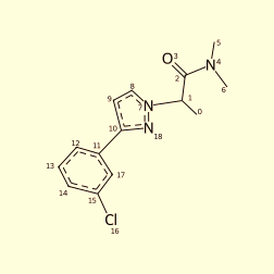 CC(C(=O)N(C)C)n1ccc(-c2cccc(Cl)c2)n1